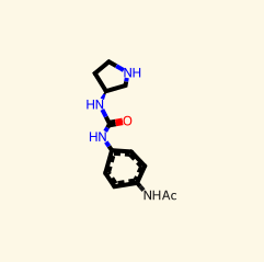 CC(=O)Nc1ccc(NC(=O)N[C@H]2CCNC2)cc1